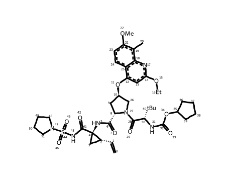 C=C[C@@H]1C[C@]1(NC(=O)[C@@H]1C[C@@H](Oc2cc(OCC)nc3c(C)c(OC)ccc23)CN1C(=O)[C@@H](NC(=O)OC1CCCC1)C(C)(C)C)C(=O)NS(=O)(=O)N1CCCC1